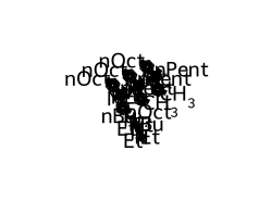 CCCCCCCCc1ccc(C2=C(CCCCC)C(CC)=C(c3cccc(CCCCCCCC)c3)[N+]2=[N-])cc1.CCCCCCCCc1ccc(C2=C(CCCCC)C=C(c3cccc(C)c3)[N+]2=[N-])cc1.CCCCCCCCc1ccc(C2=C(CCCCC)C=C(c3cccc(C)c3)[N+]2=[N-])cc1.CCC[CH2][Ni][CH2]CCC.CC[N](CC)[Ni][N](CC)CC